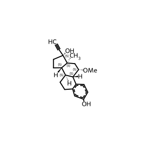 C#C[C@]1(O)CC[C@H]2[C@@H]3CCc4cc(O)ccc4[C@H]3[C@@H](OC)C[C@@]21C